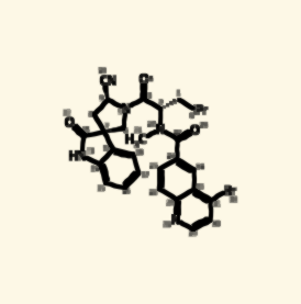 CC(C)C[C@@H](C(=O)N1C[C@]2(C[C@H]1C#N)C(=O)Nc1ccccc12)N(C)C(=O)c1ccc2nccc(Br)c2c1